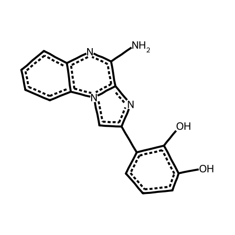 Nc1nc2ccccc2n2cc(-c3cccc(O)c3O)nc12